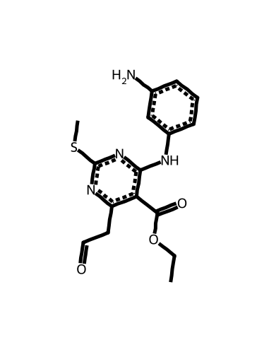 CCOC(=O)c1c(CC=O)nc(SC)nc1Nc1cccc(N)c1